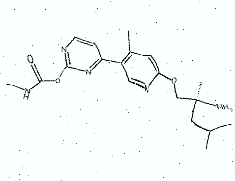 CNC(=O)Oc1nccc(-c2cnc(OC[C@@](C)(N)CC(C)C)cc2C)n1